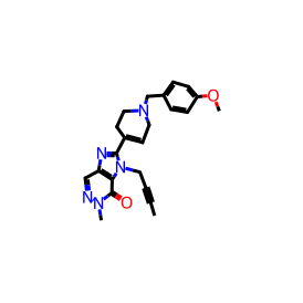 CC#CCn1c(C2=CCN(Cc3ccc(OC)cc3)CC2)nc2cnn(C)c(=O)c21